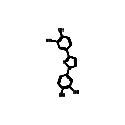 Oc1ccc(-c2ccn(-c3ccc(O)c(O)c3)n2)cc1O